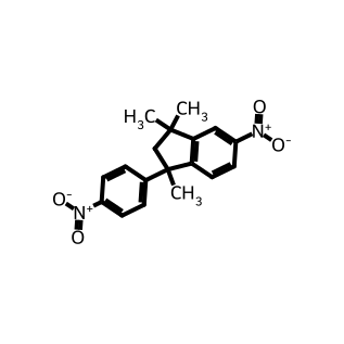 CC1(C)CC(C)(c2ccc([N+](=O)[O-])cc2)c2ccc([N+](=O)[O-])cc21